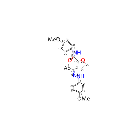 COc1ccc(NN=C(C(C)=O)C2=C(C(=O)Nc3ccc(OC)cc3)OCC2)cc1